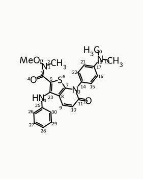 CON(C)C(=O)c1sc2c(ccc(=O)n2-c2ccc(N(C)C)cc2)c1Nc1ccccc1